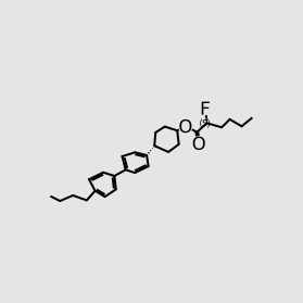 CCCCc1ccc(-c2ccc([C@H]3CC[C@H](OC(=O)[C@@H](F)CCCC)CC3)cc2)cc1